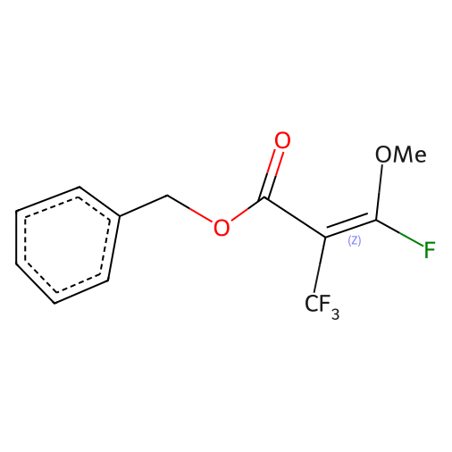 CO/C(F)=C(\C(=O)OCc1ccccc1)C(F)(F)F